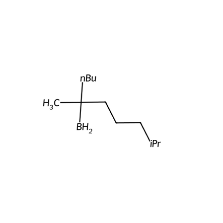 BC(C)(CCCC)CCCC(C)C